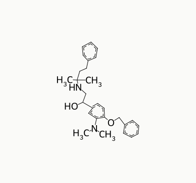 CN(C)c1cc(C(O)CNC(C)(C)CCc2ccccc2)ccc1OCc1ccccc1